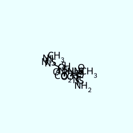 Cn1nnnc1SCC1=C(OC(=O)O)N2C(=O)[C@@H](NC(=O)[C@H](NS(C)(=O)=O)c3csc(N)n3)[C@@H]2SC1